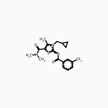 Cc1c(C(=O)N(C)C)s/c(=N\C(=O)c2cccc(C(F)(F)F)c2)n1CC1CC1